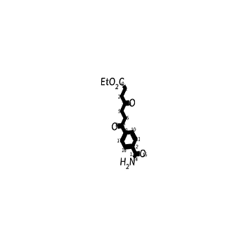 CCOC(=O)CCC(=O)CCC(=O)c1ccc(C(N)=O)cc1